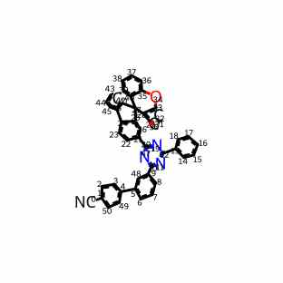 N#Cc1ccc(-c2cccc(-c3nc(-c4ccccc4)nc(-c4ccc5c(c4)C4(c6ccccc6Oc6ccccc64)c4ccccc4-5)n3)c2)cc1